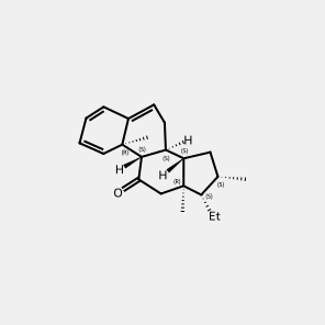 CC[C@H]1[C@@H](C)C[C@H]2[C@@H]3CC=C4C=CC=C[C@]4(C)[C@H]3C(=O)C[C@@]21C